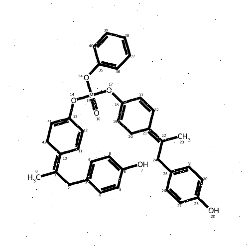 CC(Cc1ccc(O)cc1)=C1C=CC(OP(=O)(OC2=CCC(=C(C)Cc3ccc(O)cc3)C=C2)Oc2ccccc2)=CC1